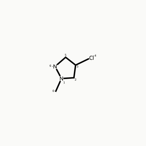 CN1CC(Cl)C[N]1